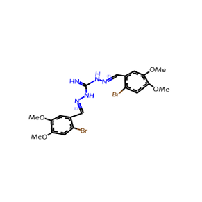 COc1cc(Br)c(/C=N/NC(=N)N/N=C/c2cc(OC)c(OC)cc2Br)cc1OC